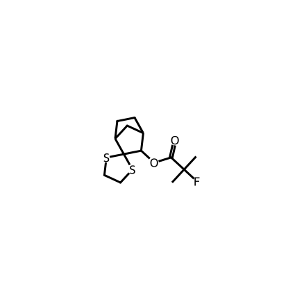 CC(C)(F)C(=O)OC1C2CCC(C2)C12SCCS2